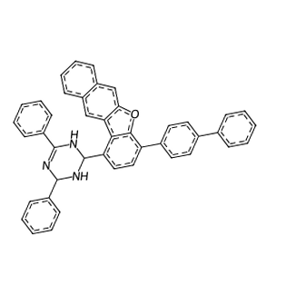 c1ccc(C2=NC(c3ccccc3)NC(c3ccc(-c4ccc(-c5ccccc5)cc4)c4oc5cc6ccccc6cc5c34)N2)cc1